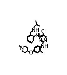 Cc1cc(OC2CCN(C)CC2)ccc1Nc1ncc(Cl)c(Nc2ccccc2CNCC(C)C)n1